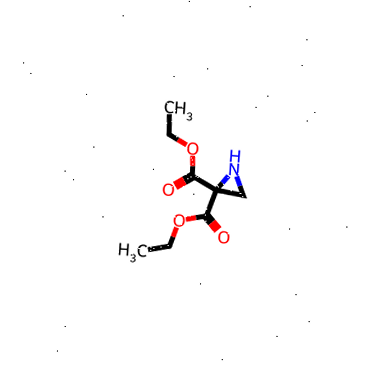 CCOC(=O)C1(C(=O)OCC)CN1